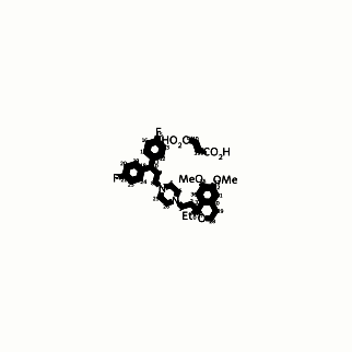 CCC1(CCN2CCN(CCC(c3ccc(F)cc3)c3ccc(F)cc3)CC2)OCCc2cc(OC)c(OC)cc21.O=C(O)C=CC(=O)O